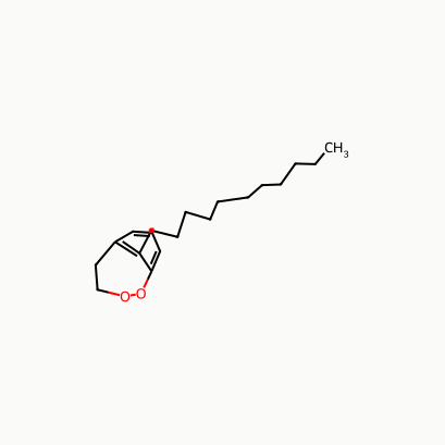 CCCCCCCCCCCc1c2cccc1OOCC2